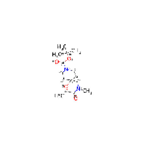 C[C@@H]1OC2(CCN(C(=O)OC(C)(C)C)CC2)CN(C)C1=O